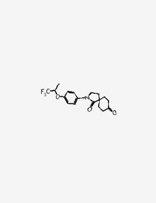 CC(Oc1ccc(N2CCC3(CCC(=O)CC3)C2=O)cc1)C(F)(F)F